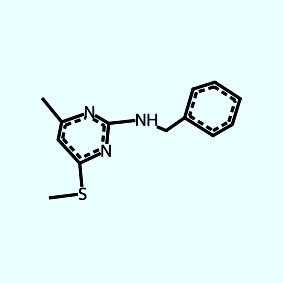 CSc1cc(C)nc(NCc2ccccc2)n1